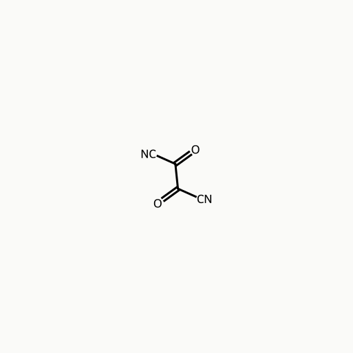 N#CC(=O)C(=O)C#N